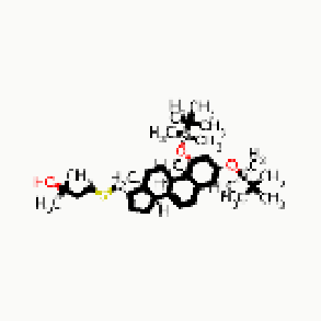 CC(C)(O)CCSC[C@H]1CC[C@H]2C3=CC=C4C[C@@H](O[Si](C)(C)C(C)(C)C)C[C@H](O[Si](C)(C)C(C)(C)C)[C@]4(C)[C@H]3CC[C@]12C